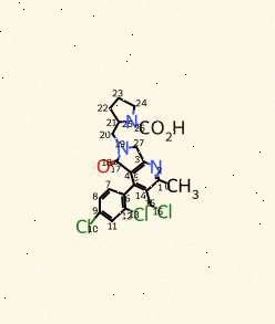 Cc1nc2c(c(-c3ccc(Cl)cc3Cl)c1CCl)C(=O)N(CC1CCCN1C(=O)O)C2